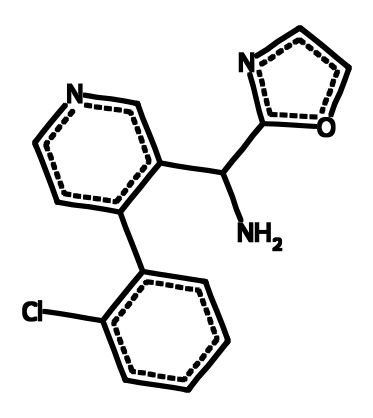 NC(c1ncco1)c1cnccc1-c1ccccc1Cl